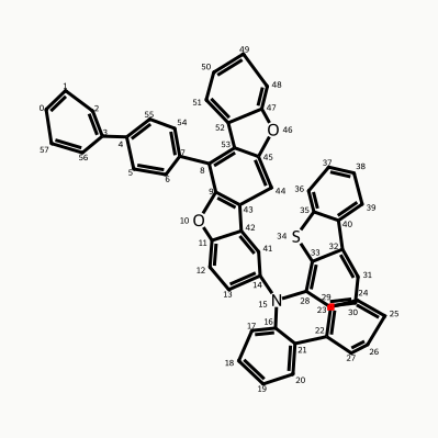 c1ccc(-c2ccc(-c3c4oc5ccc(N(c6ccccc6-c6ccccc6)c6cccc7c6sc6ccccc67)cc5c4cc4oc5ccccc5c34)cc2)cc1